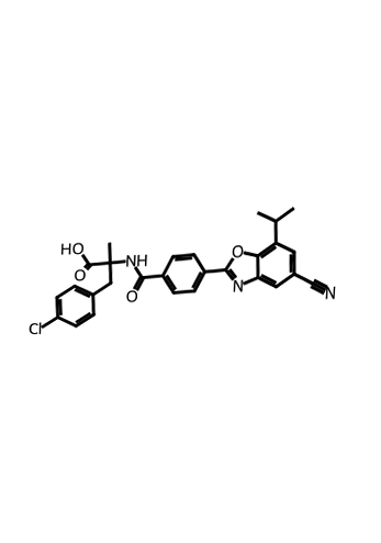 CC(C)c1cc(C#N)cc2nc(-c3ccc(C(=O)NC(C)(Cc4ccc(Cl)cc4)C(=O)O)cc3)oc12